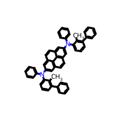 Cc1c(-c2ccccc2)cccc1N(c1ccccc1)c1cc2ccc3cc(N(c4ccccc4)c4cccc(-c5ccccc5)c4C)cc4ccc(c1)c2c34